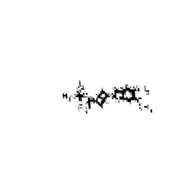 COc1cc2nn([C@H]3CC4C3CN4C(=O)OC(C)(C)C)cc2cc1N